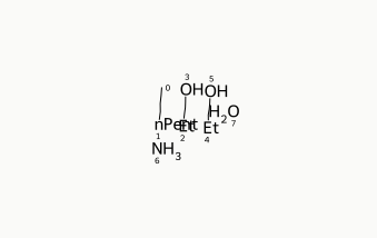 CCCCCC.CCO.CCO.N.O